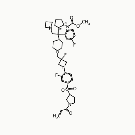 C=CC(=O)N1CCC(S(=O)(=O)c2ccc(N3CC(F)(CN4CCC(C(CN5CCC5)(c5cccc(F)c5)[C@H]5CCC[C@@H]5NC(=O)OC)CC4)C3)c(F)c2)C1